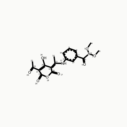 CON(OC)C(=O)c1cccc(NC(C)=C2C(=O)OC(=O)C(C(C)=O)=C2O)c1